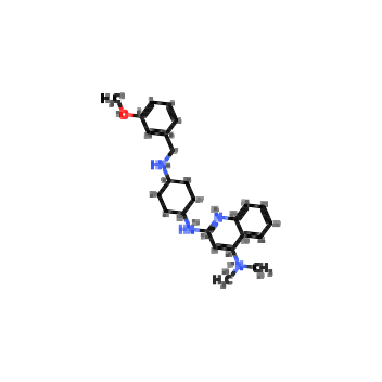 COc1cccc(CNC2CCC(Nc3cc(N(C)C)c4ccccc4n3)CC2)c1